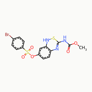 COC(=O)NC1=Nc2ccc(OS(=O)(=O)c3ccc(Br)cc3)cc2NS1